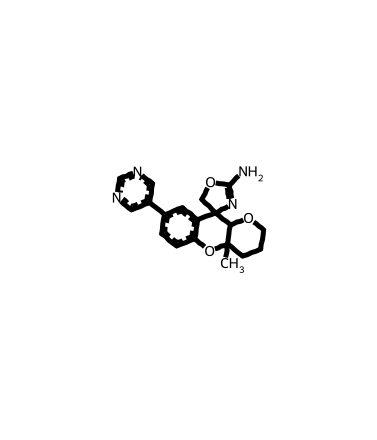 CC12CCCOC1C1(COC(N)=N1)c1cc(-c3cncnc3)ccc1O2